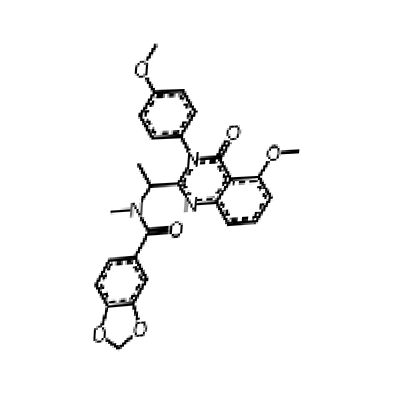 COc1ccc(-n2c(C(C)N(C)C(=O)c3ccc4c(c3)OCO4)nc3cccc(OC)c3c2=O)cc1